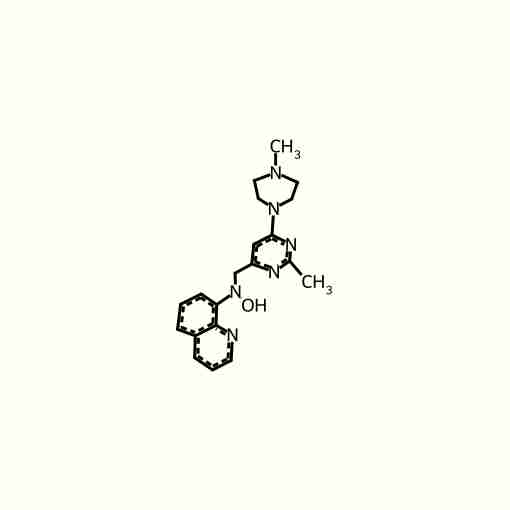 Cc1nc(CN(O)c2cccc3cccnc23)cc(N2CCN(C)CC2)n1